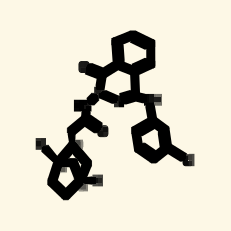 O=C(C[C@H]1C[C@@H]2CC[C@H]1C2)Nn1nc(Nc2cccc(Cl)c2)c2ccccc2c1=O